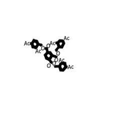 CC(=O)c1ccc(COC(=O)c2ccc(C(=O)OCc3ccc(C(C)=O)cc3C(C)=O)c(C(=O)OCc3ccc(C(C)=O)cc3C(C)=O)c2)c(C(C)=O)c1